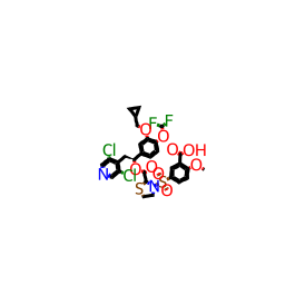 COc1ccc(S(=O)(=O)N2CCSC2C(=O)O[C@@H](Cc2c(Cl)cncc2Cl)c2ccc(OC(F)F)c(OCC3CC3)c2)cc1C(=O)O